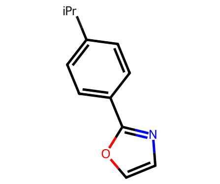 CC(C)c1ccc(-c2ncco2)cc1